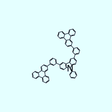 c1ccc(-n2c3ccc(-c4cccc(-c5ccc6c7ccccc7c7ccccc7c6c5)c4)cc3c3cc(-c4cccc(-c5ccc6c7ccccc7c7ccccc7c6c5)c4)ccc32)cc1